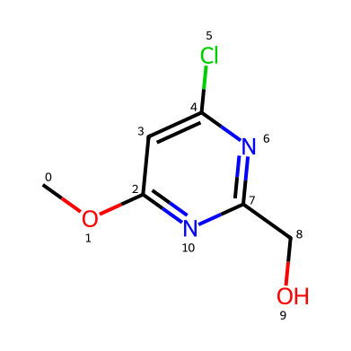 COc1cc(Cl)nc(CO)n1